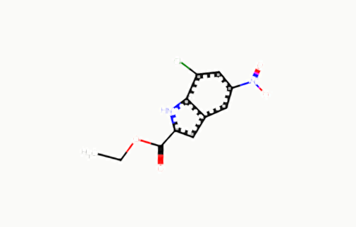 CCOC(=O)c1cc2cc([N+](=O)[O-])cc(Cl)c2[nH]1